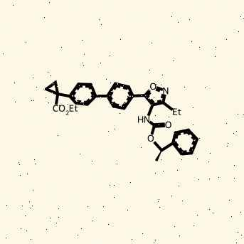 CCOC(=O)C1(c2ccc(-c3ccc(-c4onc(CC)c4NC(=O)O[C@H](C)c4ccccc4)cc3)cc2)CC1